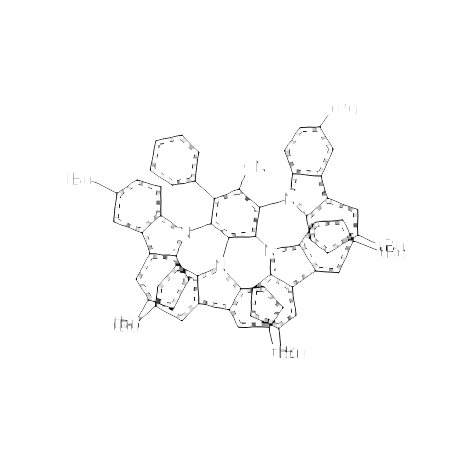 CC(C)(C)c1ccc2c(c1)c1cc(C(C)(C)C)ccc1n2-c1c(C#N)c(-c2ccccc2)c(-n2c3ccc(C(C)(C)C)cc3c3cc(C(C)(C)C)ccc32)c(-n2c3ccc(C(C)(C)C)cc3c3cc(C(C)(C)C)ccc32)c1-n1c2ccc(C(C)(C)C)cc2c2cc(C(C)(C)C)ccc21